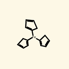 C1=CC[C]([Fe]([C]2=CC=CC2)[C]2=CC=CC2)=C1